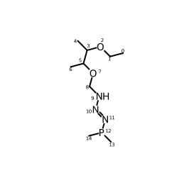 CCOC(C)C(C)OCNN=NP(C)C